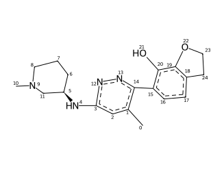 Cc1cc(N[C@@H]2CCCN(C)C2)nnc1-c1ccc2c(c1O)OCC2